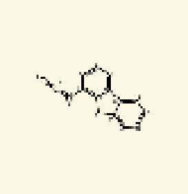 O=C=Nc1[c]ccc2c1Cc1ccccc1-2